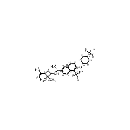 C[C@@H](NC1CC(C(=O)O)C1(C)C)c1ccc2c(C(F)(F)F)c(O[C@H]3CC[C@@H](C(F)(F)F)CC3)ccc2c1